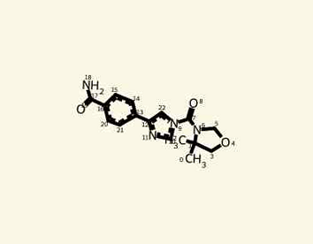 CC1(C)COCN1C(=O)n1cnc(-c2ccc(C(N)=O)cc2)c1